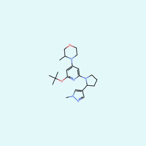 CC1COCCN1c1cc(OC(C)(C)C)nc(N2CCCC2c2cnn(C)c2)c1